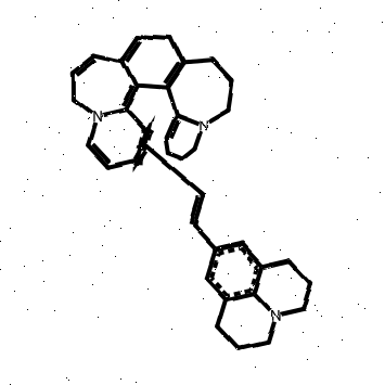 C1=CC2=CCC3=C(C4=CCCCN4CCC3)C2=C2c3ccc(/C=C/c4cc5c6c(c4)CCCN6CCC5)cc3C=CN2C1